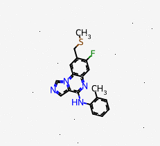 CSCc1cc2c(cc1F)nc(Nc1ccccc1C)c1cncn12